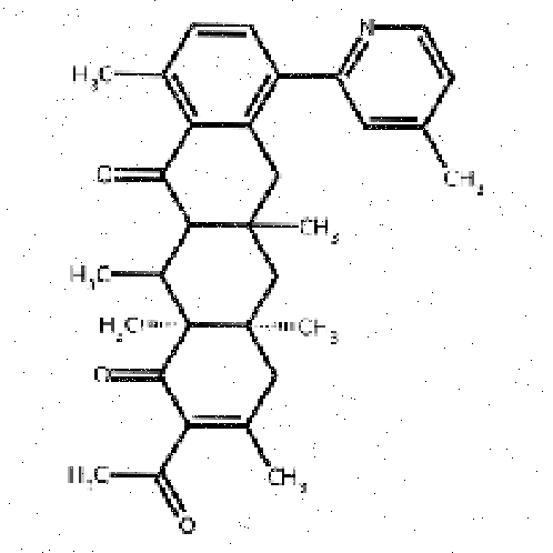 CC(=O)C1=C(C)C[C@]2(C)CC3(C)Cc4c(-c5cc(C)ccn5)ccc(C)c4C(=O)C3C(C)[C@]2(C)C1=O